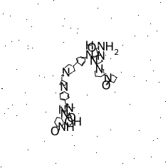 Cn1c(-c2ccc(N3CC(CN4CCC(c5ccc(Nc6nc(N7CCC[C@H](N8CCCC8=O)C7)cnc6C(N)=O)cc5)CC4)C3)cc2)nn(C2CCC(=O)NC2O)c1=O